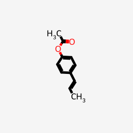 CC=Cc1ccc(OC(C)=O)cc1